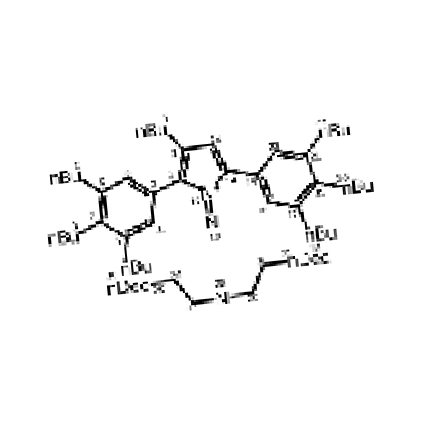 CCCCC1=C(c2cc(CCCC)c(CCCC)c(CCCC)c2)[N+](=[N-])C(c2cc(CCCC)c(CCCC)c(CCCC)c2)=C1.CCCCCCCCCCC[CH2][Ni][CH2]CCCCCCCCCCC